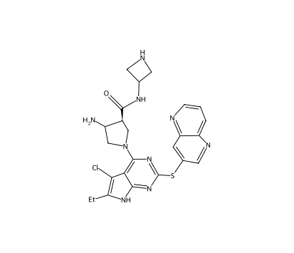 CCc1[nH]c2nc(Sc3cnc4cccnc4c3)nc(N3CC(N)[C@@H](C(=O)NC4CNC4)C3)c2c1Cl